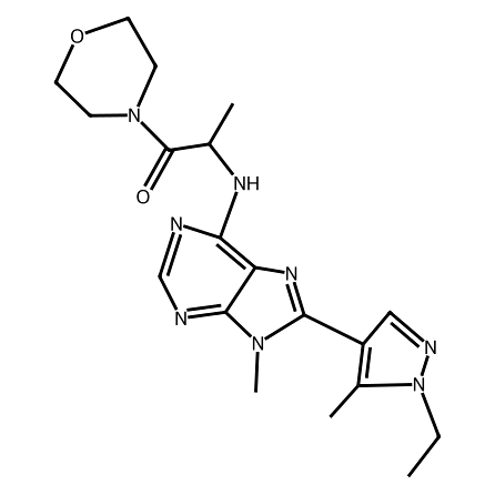 CCn1ncc(-c2nc3c(NC(C)C(=O)N4CCOCC4)ncnc3n2C)c1C